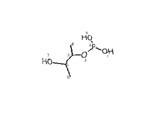 CC(O)C(C)OP(O)O